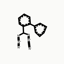 [N-]=[N+]=NC(N=[N+]=[N-])c1ccccc1-c1ccccc1